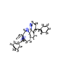 C1=N\c2c(ccc3c(-c4ccccc4)ccnc23)CC\C(c2ccccc2)=C/1